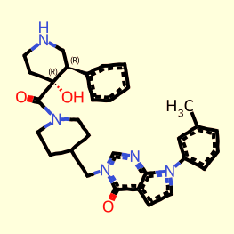 Cc1cccc(-n2ccc3c(=O)n(CC4CCN(C(=O)[C@@]5(O)CCNC[C@H]5c5ccccc5)CC4)cnc32)c1